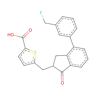 O=C(O)c1ccc(CC2Cc3c(cccc3-c3cccc(CF)c3)C2=O)s1